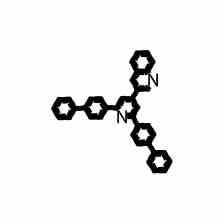 c1ccc(-c2ccc(-c3cc(-c4cnc5ccccc5c4)cc(-c4ccc(-c5ccccc5)cc4)n3)cc2)cc1